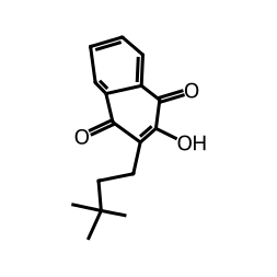 CC(C)(C)CCC1=C(O)C(=O)c2ccccc2C1=O